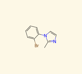 Cc1nccn1-c1ccccc1Br